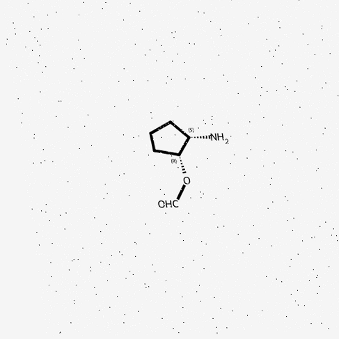 N[C@H]1CCC[C@H]1OC=O